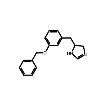 C1=NCC(Cc2cccc(OCc3ccccc3)c2)N1